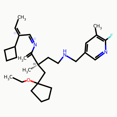 C=C(/N=C\C(=C/C)C1CCC1)[C@@](C)(CCNCc1cnc(F)c(C)c1)CC1(OCC)CCCC1